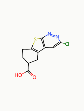 O=C(O)C1CCc2sc3nnc(Cl)cc3c2C1